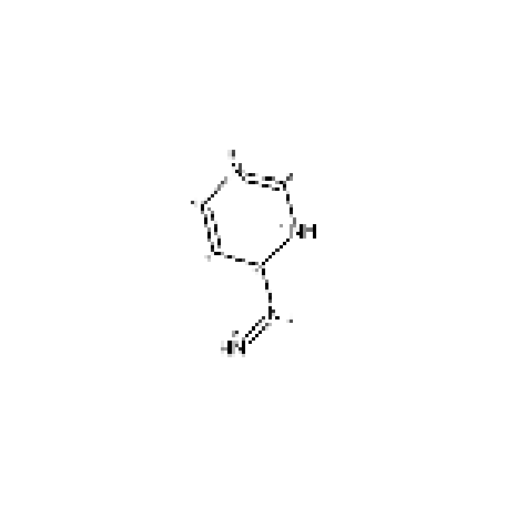 N=NC1C=CN=CN1